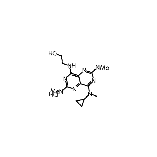 CNc1nc(N(C)C2CC2)c2nc(NC)nc(NCCO)c2n1.Cl